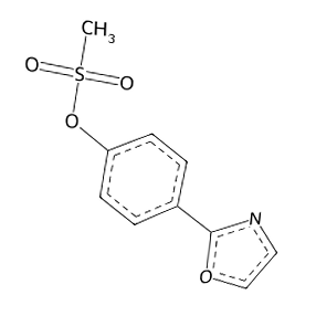 CS(=O)(=O)Oc1ccc(-c2ncco2)cc1